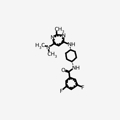 Cc1nc(N[C@H]2CC[C@@H](NC(=O)c3cc(F)cc(F)c3)CC2)cc(N(C)C)n1